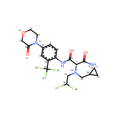 NC(=O)[C@H](C(=O)Nc1ccc(N2CCOCC2=O)cc1C(F)(F)F)N(CC(F)F)CC1CC1